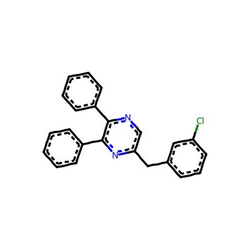 Clc1cccc(Cc2cnc(-c3ccccc3)c(-c3ccccc3)n2)c1